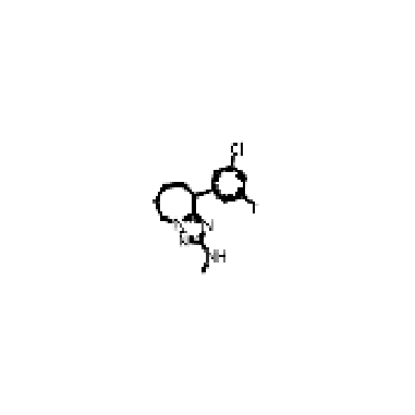 CNc1nc2n(n1)CCCCC2c1cc(F)cc(Cl)c1